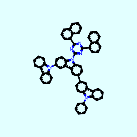 c1ccc(-n2c3ccccc3c3cc(-c4ccc5c(c4)c4cc(-n6c7ccccc7c7ccccc76)ccc4n5-c4nc(-c5cccc6ccccc56)nc(-c5cccc6ccccc56)n4)ccc32)cc1